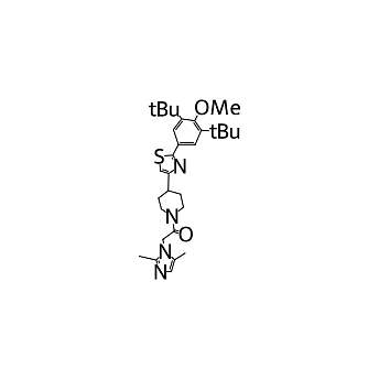 COc1c(C(C)(C)C)cc(-c2nc(C3CCN(C(=O)Cn4c(C)cnc4C)CC3)cs2)cc1C(C)(C)C